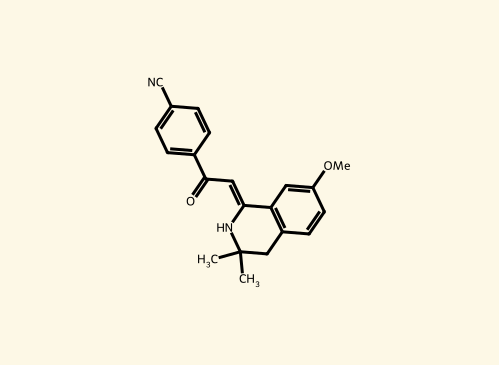 COc1ccc2c(c1)/C(=C/C(=O)c1ccc(C#N)cc1)NC(C)(C)C2